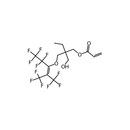 C=CC(=O)OCC(CC)(CO)COC(=C(C(F)(F)F)C(F)(F)F)C(F)(F)C(F)(F)F